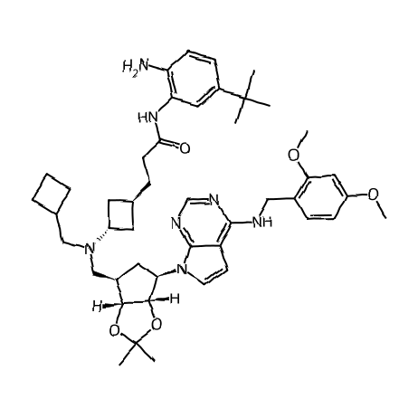 COc1ccc(CNc2ncnc3c2ccn3[C@@H]2C[C@H](CN(CC3CCC3)[C@H]3C[C@H](CCC(=O)Nc4cc(C(C)(C)C)ccc4N)C3)[C@H]3OC(C)(C)O[C@H]32)c(OC)c1